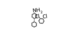 Clc1ccccc1Cl.Nc1ccc(-c2ccccc2)cc1